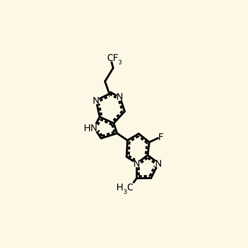 Cc1cnc2c(F)cc(-c3c[nH]c4nc(CCC(F)(F)F)ncc34)cn12